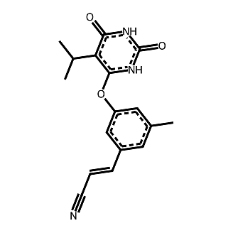 Cc1cc(C=CC#N)cc(Oc2[nH]c(=O)[nH]c(=O)c2C(C)C)c1